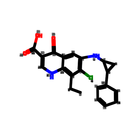 CCc1c(Cl)c(NC2CC2c2ccccc2)cc2c(=O)c(C(=O)O)c[nH]c12